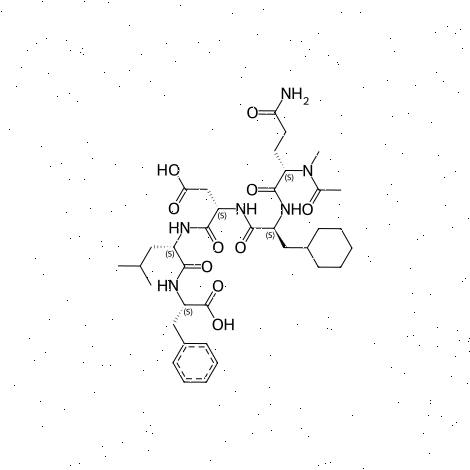 CC(=O)N(C)[C@@H](CCC(N)=O)C(=O)N[C@@H](CC1CCCCC1)C(=O)N[C@@H](CC(=O)O)C(=O)N[C@@H](CC(C)C)C(=O)N[C@@H](Cc1ccccc1)C(=O)O